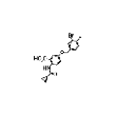 O=C(O)c1cc(OCc2ccc(F)c(Br)c2)ccc1NC(=O)C1CC1